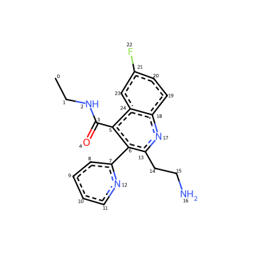 CCNC(=O)c1c(-c2ccccn2)c(CCN)nc2ccc(F)cc12